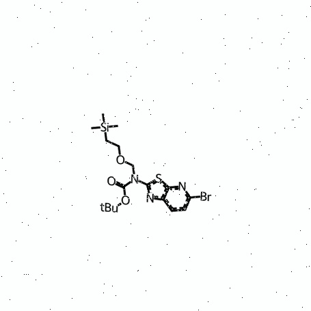 CC(C)(C)OC(=O)N(COCC[Si](C)(C)C)c1nc2ccc(Br)nc2s1